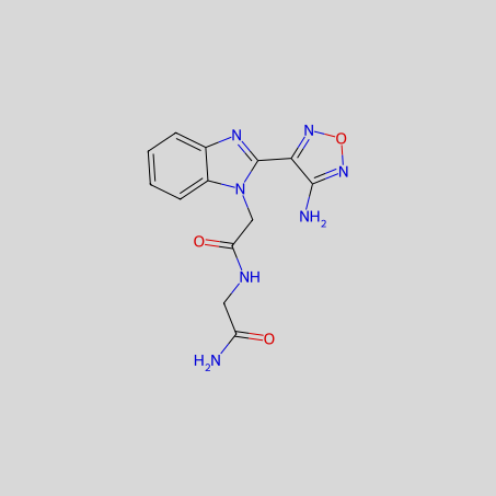 NC(=O)CNC(=O)Cn1c(-c2nonc2N)nc2ccccc21